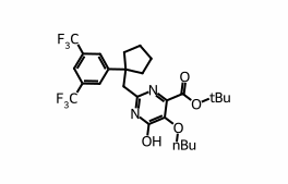 CCCCOc1c(O)nc(CC2(c3cc(C(F)(F)F)cc(C(F)(F)F)c3)CCCC2)nc1C(=O)OC(C)(C)C